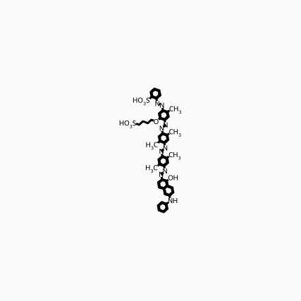 Cc1cc(N=Nc2cc(C)c(N=Nc3ccccc3S(=O)(=O)O)cc2OCCCCS(=O)(=O)O)c(C)cc1N=Nc1cc(C)c(N=Nc2ccc3cc(Nc4ccccc4)ccc3c2O)cc1C